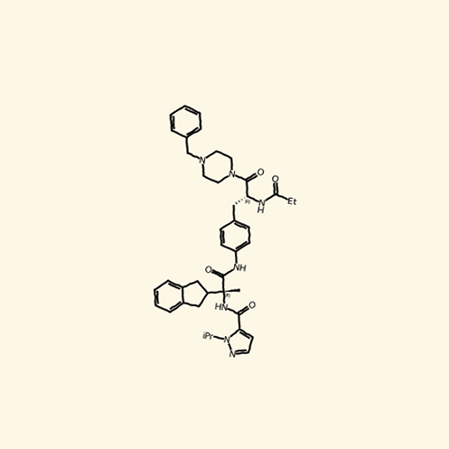 CCC(=O)N[C@H](Cc1ccc(NC(=O)[C@](C)(NC(=O)c2ccnn2C(C)C)C2Cc3ccccc3C2)cc1)C(=O)N1CCN(Cc2ccccc2)CC1